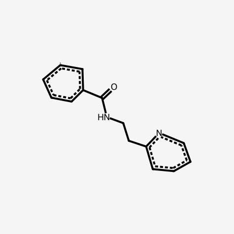 O=C(NCCc1ccccn1)c1c[c]ccc1